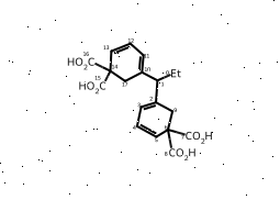 CCC(C1=CC=CC(C(=O)O)(C(=O)O)C1)C1=CC=CC(C(=O)O)(C(=O)O)C1